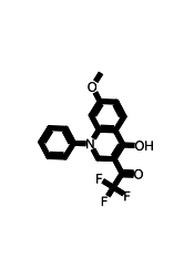 COc1ccc2c(c1)N(c1ccccc1)CC(C(=O)C(F)(F)F)=C2O